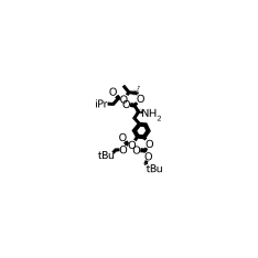 CC(C)CC(=O)OC(C)[C@H](C)OC(=O)[C@@H](N)Cc1ccc(OC(=O)OCC(C)(C)C)c(OC(=O)OCC(C)(C)C)c1